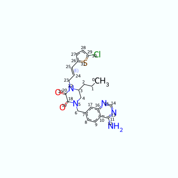 CCCC1CN(Cc2ccc3c(N)ncnc3c2)C(=O)C(=O)N1C/C=C/c1ccc(Cl)s1